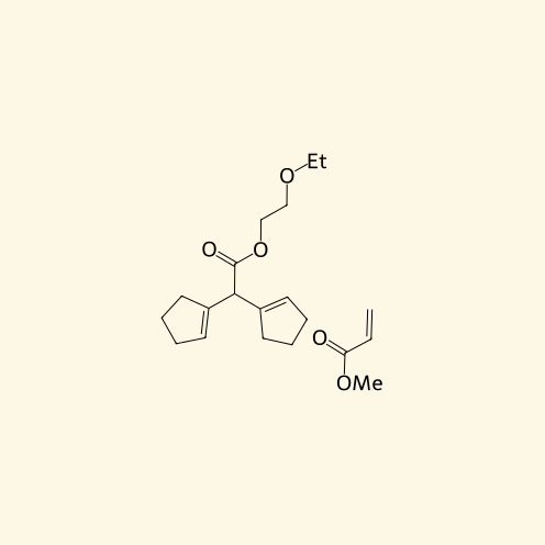 C=CC(=O)OC.CCOCCOC(=O)C(C1=CCCC1)C1=CCCC1